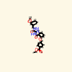 CCOC(=O)c1ccc(COc2cccc3nc(C(=O)NCc4cccc(OC)c4)[nH]c(=O)c23)cc1